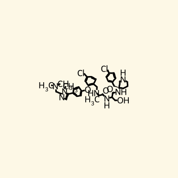 CC(NCc1ccc(Cl)cc1Oc1ccc(-c2cnc(CN(C)C)n2C)cc1)C(=O)NC(CO)C(=O)N[C@@]1(Cc2ccc(Cl)cc2)CCCNC1